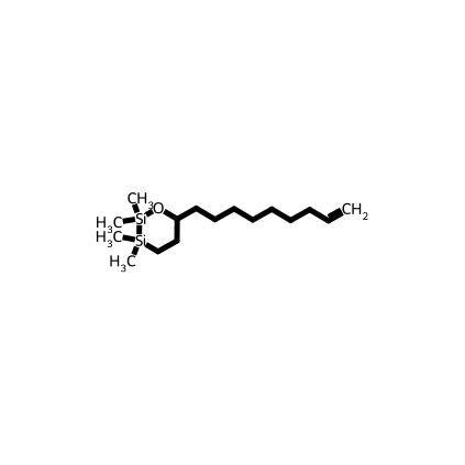 C=CCCCCCCCC1CC[Si](C)(C)[Si](C)(C)O1